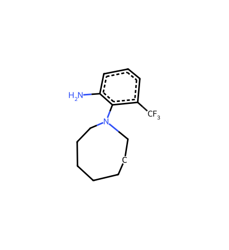 Nc1cccc(C(F)(F)F)c1N1CCCCCCC1